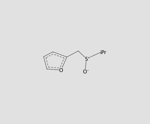 CC(C)[S+]([O-])Cc1ccco1